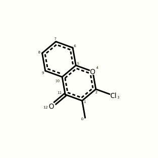 Cc1c(Cl)oc2ccccc2c1=O